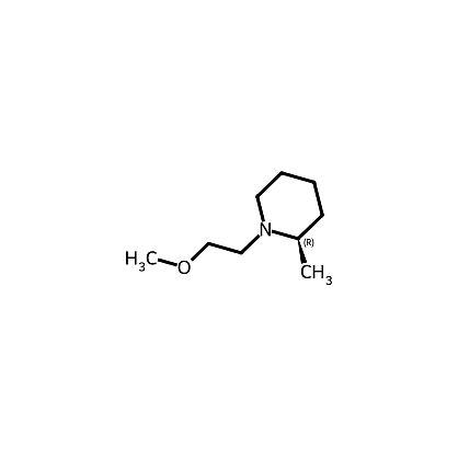 COCCN1CCCC[C@H]1C